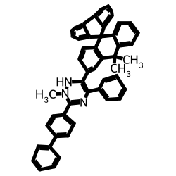 CN1NC(c2ccc3c(c2)C(C)(C)c2ccccc2C32c3ccccc3-c3ccccc32)=C(c2ccccc2)N=C1c1ccc(-c2ccccc2)cc1